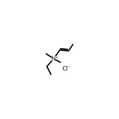 CC=C[N+](C)(C)CC.[Cl-]